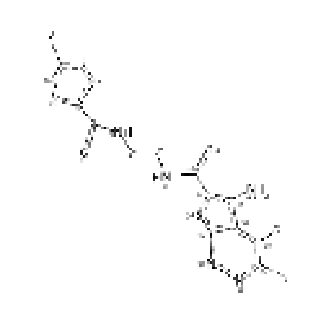 Cc1ccc(C(=O)NCCNC(=O)c2sc3nnc(C)c(C)c3c2N)cc1